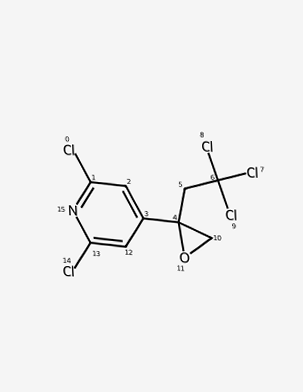 Clc1cc(C2(CC(Cl)(Cl)Cl)CO2)cc(Cl)n1